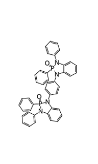 O=P1(c2ccccc2)N(c2ccccc2)c2ccccc2N1c1ccc(N2c3ccccc3N(c3ccccc3)P2(=O)c2ccccc2)cc1